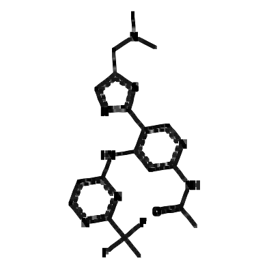 CC(=O)Nc1cc(Nc2ccnc(C(C)(F)F)n2)c(-c2ncc(CN(C)C)s2)cn1